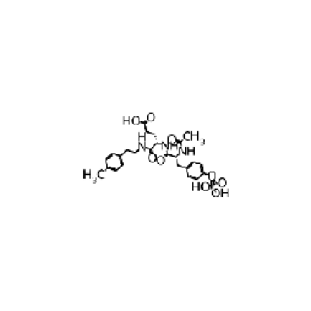 CC(=O)N[C@@H](Cc1ccc(OP(=O)(O)O)cc1)C(=O)N[C@@H](CCC(=O)O)C(=O)NCCc1ccc(C)cc1